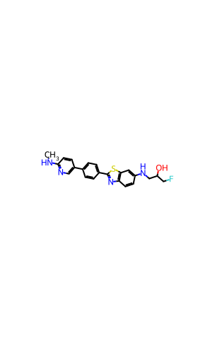 CNc1ccc(-c2ccc(-c3nc4ccc(NCC(O)CF)cc4s3)cc2)cn1